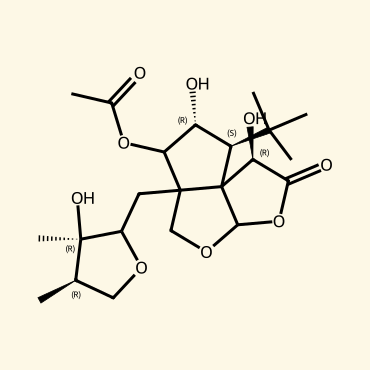 CC(=O)OC1[C@H](O)[C@@H](C(C)(C)C)C23C(OCC12CC1OC[C@@H](C)[C@@]1(C)O)OC(=O)[C@@H]3O